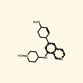 CNC1C=CC(c2cc(NC3CCN(O)CC3)c3cnccc3c2)CC1